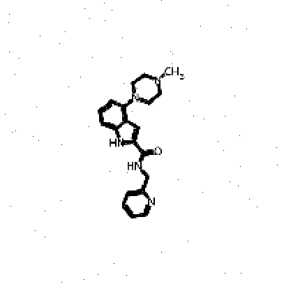 CN1CCN(c2cccc3[nH]c(C(=O)NCc4ccccn4)cc23)CC1